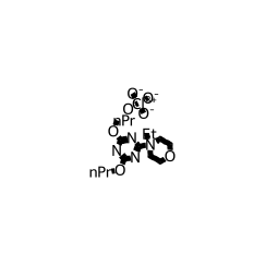 CCCOc1nc(OCCC)nc([N+]2(CC)CCOCC2)n1.[O-][Cl+3]([O-])([O-])[O-]